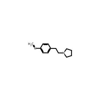 C=Nc1ccc(CCN2CCCC2)cc1